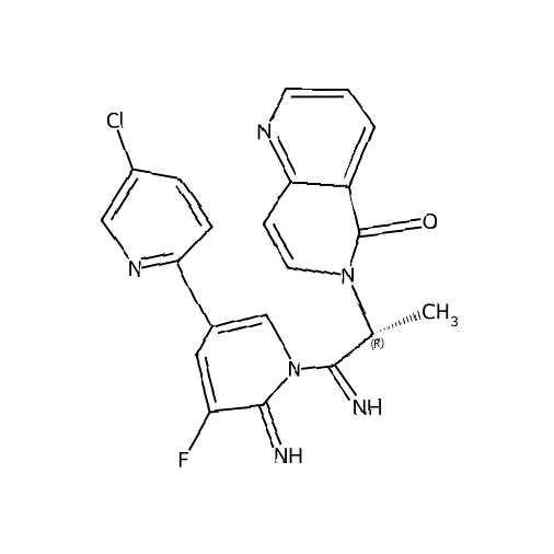 C[C@H](C(=N)n1cc(-c2ccc(Cl)cn2)cc(F)c1=N)n1ccc2ncccc2c1=O